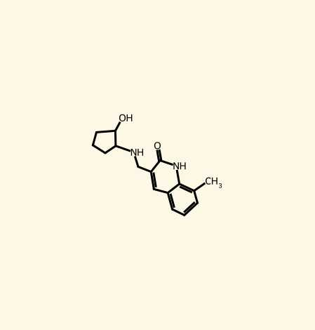 Cc1cccc2cc(CNC3CCCC3O)c(=O)[nH]c12